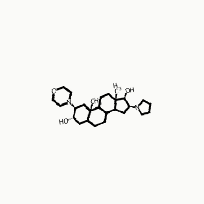 C[C@]12C[C@H](N3CCOCC3)[C@@H](O)CC1CCC1C2CC[C@@]2(C)C1C[C@H](N1CCCC1)[C@@H]2O